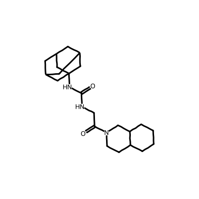 O=C(NCC(=O)N1CCC2CCCCC2C1)NC12CC3CC(CC(C3)C1)C2